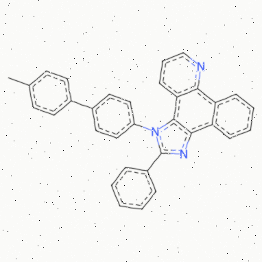 Cc1ccc(-c2ccc(-n3c(-c4ccccc4)nc4c5ccccc5c5ncccc5c43)cc2)cc1